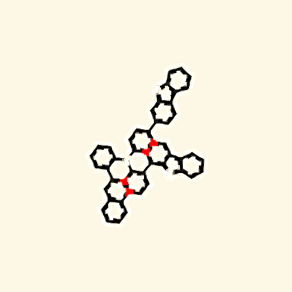 c1ccc(N(c2ccc(-c3ccc4c(c3)sc3ccccc34)cc2)c2ccccc2-c2cccc3c2oc2ccccc23)c(-c2ccc3ccccc3c2)c1